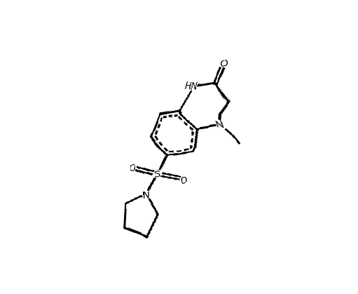 CN1CC(=O)Nc2ccc(S(=O)(=O)N3CCCC3)cc21